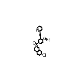 CCOc1ccc(C(=O)N2CCc3ccc(Cl)cc3C2)cc1C#Cc1ccccn1